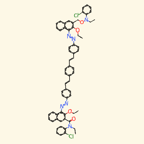 CCOc1c(CON(CC)c2ccccc2Cl)cc2ccccc2c1N=Nc1ccc(C=Cc2ccc(C=Cc3ccc(N=Nc4c(OCC)c(C(=O)N(CC)c5ccccc5Cl)cc5ccccc45)cc3)cc2)cc1